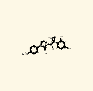 COc1ccc(-n2cnn([C@H](C)[C@@]3(c4ccc(F)cc4F)CO3)c2=O)cc1